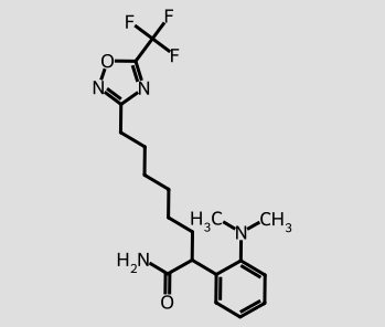 CN(C)c1ccccc1C(CCCCCCc1noc(C(F)(F)F)n1)C(N)=O